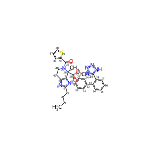 CCCCc1nc2c(n1-c1ccc(-c3ccccc3-c3nnn[nH]3)cc1)C(C)(C(=O)OC)N(C(=O)c1cccs1)CC2